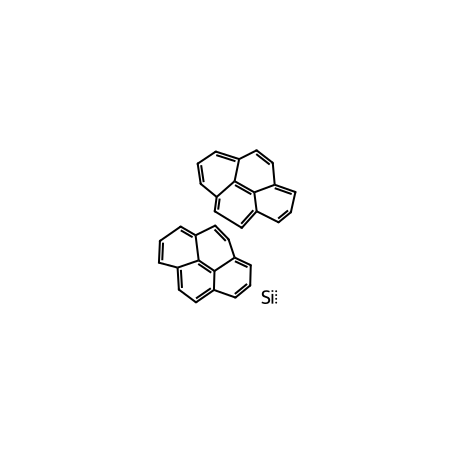 [Si].c1cc2ccc3cccc4ccc(c1)c2c34.c1cc2ccc3cccc4ccc(c1)c2c34